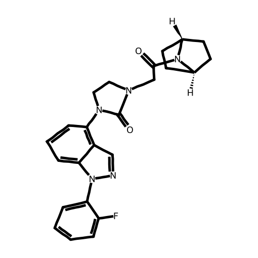 O=C1N(CC(=O)N2[C@H]3CC[C@H]2CC3)CCN1c1cccc2c1cnn2-c1ccccc1F